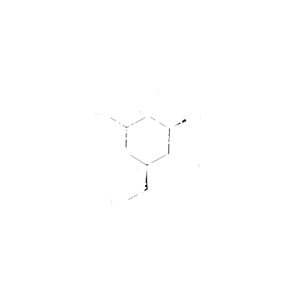 BC[C@H]1OC(O)[C@H](O)[C@@H](O)[C@@H]1O